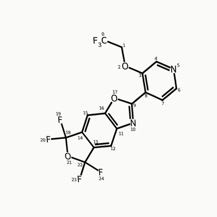 FC(F)(F)COc1cnccc1-c1nc2cc3c(cc2o1)C(F)(F)OC3(F)F